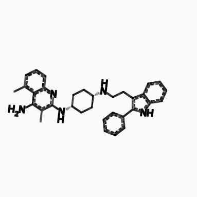 Cc1c(N[C@H]2CC[C@@H](NCCc3c(-c4ccccc4)[nH]c4ccccc34)CC2)nc2cccc(C)c2c1N